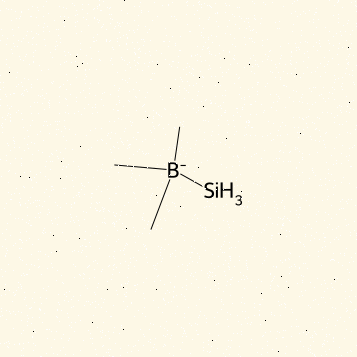 C[B-](C)(C)[SiH3]